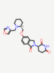 O=C1CCC(N2Cc3cc(OC[C@@H]4CCCCN4Cc4cocn4)ccc3C2=O)C(=O)N1